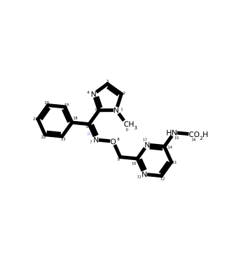 Cn1ccnc1/C(=N\OCc1nccc(NC(=O)O)n1)c1ccccc1